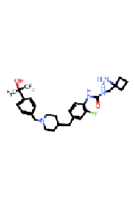 NC1(CNC(=O)Nc2ccc(CC3CCN(Cc4ccc(C(O)(C(F)(F)F)C(F)(F)F)cc4)CC3)cc2F)CCC1